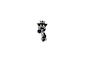 CCS(=O)(=O)c1ccc(CN/C(C=O)=N/c2cnc(-c3c(C4CC4)ncnc3C3CC3)nc2N(C)C2CCCC2)nc1